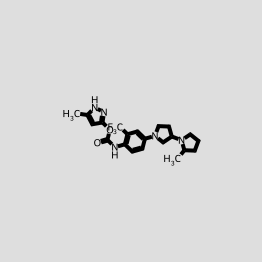 Cc1cc(OC(=O)Nc2ccc(N3CCC(N4CCCC4C)C3)cc2C(F)(F)F)n[nH]1